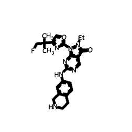 CCn1c(=O)c2cnc(Nc3ccc4c(c3)CNCC4)nc2n1-c1nc(C(C)(C)CF)co1